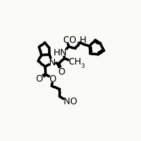 CC(NC(CCc1ccccc1)C(=O)O)C(=O)N1C(C(=O)OCCCN=O)CC2CCCC21